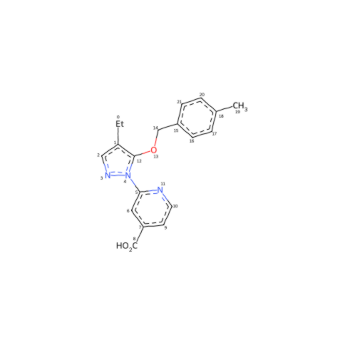 CCc1cnn(-c2cc(C(=O)O)ccn2)c1OCc1ccc(C)cc1